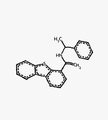 C=C(NC(C)c1ccccc1)c1cccc2c1sc1ccccc12